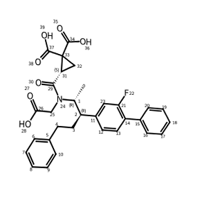 C[C@H]([C@H](CCc1ccccc1)c1ccc(-c2ccccc2)c(F)c1)N(CC(=O)O)C(=O)[C@H]1CC1(C(=O)O)C(=O)O